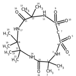 CC1(C)NS(=O)(=O)CS(=O)(=O)NC(C)(C)C(=O)NC(C)(C)C(C)(C)NC1=O